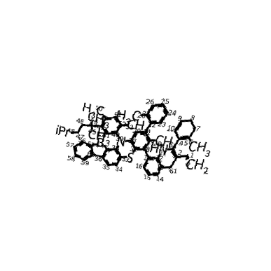 C=CC1=C(C2=C(C)CCC=C2)Nc2c(cccc2-c2c(C)c(-c3ccccc3C)cc3c2Sc2ccc4c(c2N3c2cc(C(C)(C)CCC(C)C)c(C)cc2C)Bc2ccccc2-4)C1